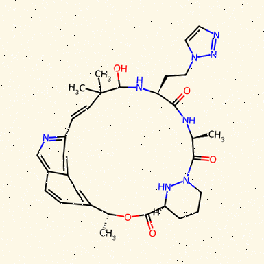 C[C@@H]1NC(=O)[C@H](CCn2ccnn2)NC(O)C(C)(C)/C=C/c2cc3cc(ccc3cn2)[C@@H](C)OC(=O)[C@@H]2CCCN(N2)C1=O